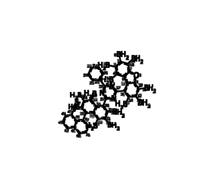 Bc1c(B)c(B)c2c(oc3c(B)c(B)c(B)c(-c4nc(-c5ccccc5)nc(-c5c(B)c(B)c(B)c6c(-c7cccc8cccc(C#N)c78)c(B)c(B)c(B)c56)n4)c32)c1B